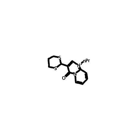 CCC[n+]1cc(C2SCCCS2)c(=O)n2ccccc21